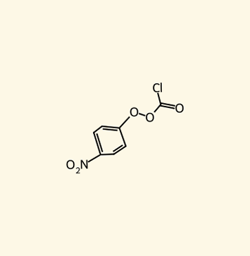 O=C(Cl)OOc1ccc([N+](=O)[O-])cc1